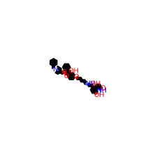 O=C(OCC1CCN(Cc2ccccc2)CC1)[C@](O)(c1ccccc1)c1cccc(OCCCCCNC[C@H](O)c2ccc(O)c3[nH]c(=O)ccc23)c1